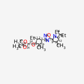 CCc1cc(-c2noc(-c3cc(C)cc(C(CC)CC)n3)n2)cc(C)c1OCC1COC(C)(C)O1